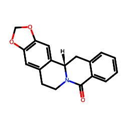 O=C1c2ccccc2C[C@H]2c3cc4c(cc3CCN12)OCO4